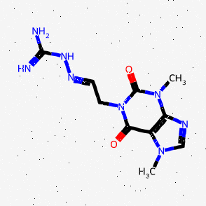 Cn1cnc2c1c(=O)n(CC=NNC(=N)N)c(=O)n2C